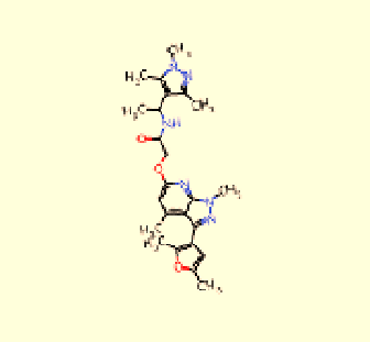 Cc1cc(-c2nn(C)c3nc(OCC(=O)NC(C)c4c(C)nn(C)c4C)cc(C)c23)c(C)o1